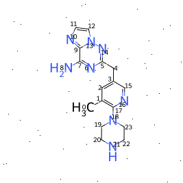 Cc1cc(Cc2nc(N)c3nccn3n2)cnc1N1CCNCC1